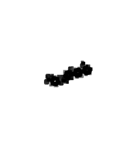 COc1ncccc1-c1ccc(-c2nc3nc(O[C@H]4CC[C@H](C(=O)O)CC4)[nH]c3cc2Cl)cc1